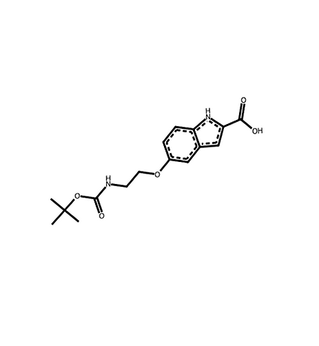 CC(C)(C)OC(=O)NCCOc1ccc2[nH]c(C(=O)O)cc2c1